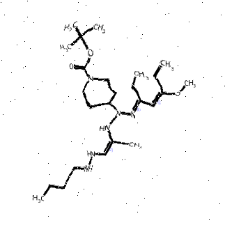 CCCCNN/C=C(/C)NN(/N=C(/C=C(\CC)OC)CC)C1CCN(C(=O)OC(C)(C)C)CC1